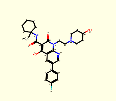 O=C(NC1(C(=O)O)CCCCC1)c1c(O)c2cc(-c3ccc(F)cc3)cnc2n(CCN2CCC(O)CC2)c1=O